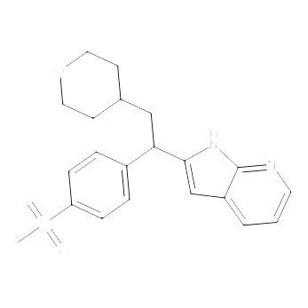 CS(=O)(=O)c1ccc(C(CC2CCOCC2)c2cc3cccnc3[nH]2)cc1